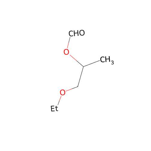 CCOCC(C)OC=O